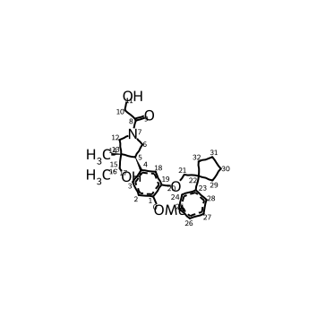 COc1ccc([C@@H]2CN(C(=O)CO)C[C@@]2(C)[C@@H](C)O)cc1OCC1(c2ccccc2)CCCC1